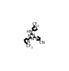 N#Cc1ccn(-c2nc(Nc3ccnc(C(F)(F)F)c3)nc(-c3cccc(C(F)(F)F)n3)n2)c1